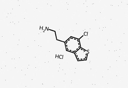 Cl.NCCc1cc(Cl)c2sccc2c1